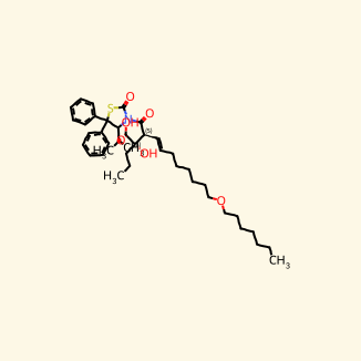 CCCCCCCOCCCCCCC=C[C@H](C(=O)N1C(=O)SC(c2ccccc2)(c2ccccc2)C1C(C)C)[C@@](O)(CCC)C(=O)O